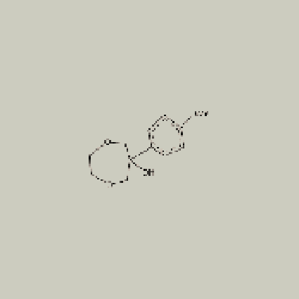 COc1ccc(C2(O)COCCOC2)cc1